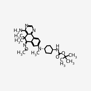 CO/N=C1\c2cc(N(C)[C@H]3CC[C@H](NC(=O)OC(C)(C)C)CC3)ccc2-c2ncnc(N)c2C1(C)C